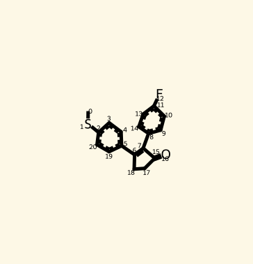 CSc1ccc(C2=C(c3ccc(F)cc3)C(=O)CC2)cc1